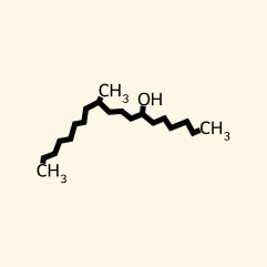 CCCCCCCCC(C)CCCC(O)CCCCCC